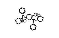 OC1=C(P(c2ccccc2)c2ccccc2)CC(O)(P(c2ccccc2)c2ccccc2)C=C1